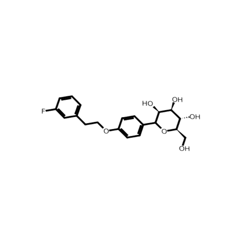 OC[C@H]1OC(c2ccc(OCCc3cccc(F)c3)cc2)[C@@H](O)[C@@H](O)[C@@H]1O